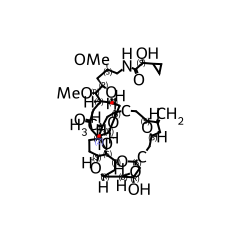 C=C1C[C@@H]2CC[C@]34C[C@@H](O)[C@H](O3)[C@H]3C[C@@H](O4)[C@]45/N=C6/[C@H](C)C[C@H](CC[C@@H]1O2)O[C@@H]6C[C@@H]1O[C@H](C[C@@H](CNC(=O)[C@@H](O)C2CC2)OC)[C@H](OC)[C@H]1CC(=O)C[C@@H](CC[C@@H]4O3)O5